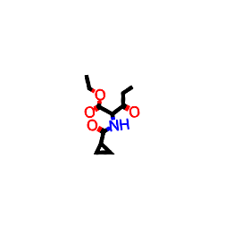 CCOC(=O)C(NC(=O)C1CC1)C(=O)CC